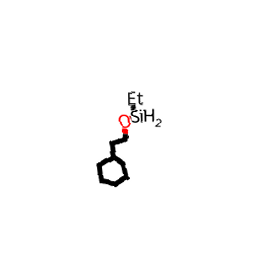 CC[SiH2]OCCC1CCCCC1